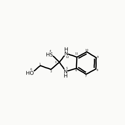 OCCC1(S)Nc2ccccc2N1